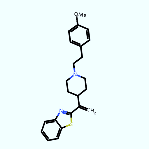 C=C(c1nc2ccccc2s1)C1CCN(CCc2ccc(OC)cc2)CC1